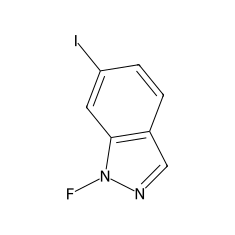 Fn1ncc2ccc(I)cc21